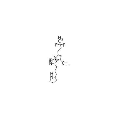 Cc1cc(CCC(C)(F)F)nn1/C(CCCC1CCCN1)=N\C(C)C